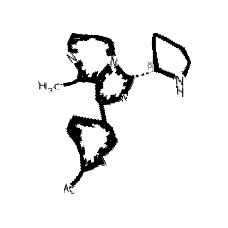 CC(=O)c1ccc(-c2nc([C@@H]3CCCN3)n3ccnc(C)c23)cc1